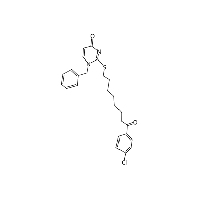 O=C(CCCCCCCSc1nc(=O)ccn1Cc1ccccc1)c1ccc(Cl)cc1